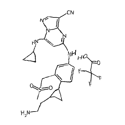 CS(=O)(=O)Cc1cc(Nc2cc(NC3CC3)n3ncc(C#N)c3n2)ccc1C1CC1CCN.O=C(O)C(F)(F)F